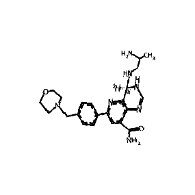 [2H][C@]1(NCC(C)N)NC=Nc2c(C(N)=O)cc(-c3ccc(CN4CCOCC4)cc3)nc21